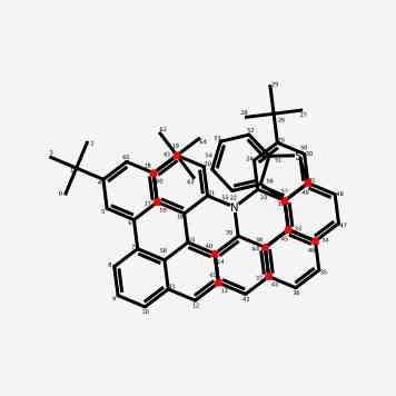 CC(C)(C)c1cc(-c2cccc3cccc(-c4ccccc4N(c4cc(C(C)(C)C)ccc4-c4ccccc4)c4ccccc4-c4cccc5sc6ccccc6c45)c23)cc(C(C)(C)C)c1